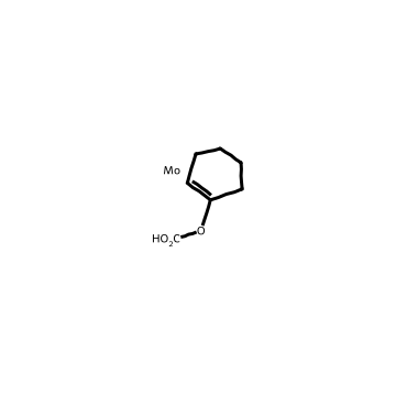 O=C(O)OC1=CCCCC1.[Mo]